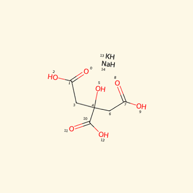 O=C(O)CC(O)(CC(=O)O)C(=O)O.[KH].[NaH]